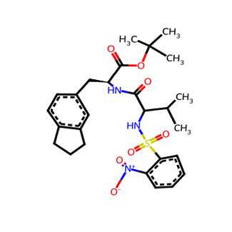 CC(C)C(NS(=O)(=O)c1ccccc1[N+](=O)[O-])C(=O)N[C@@H](Cc1ccc2c(c1)CCC2)C(=O)OC(C)(C)C